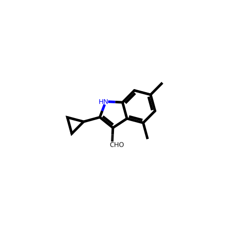 Cc1cc(C)c2c(C=O)c(C3CC3)[nH]c2c1